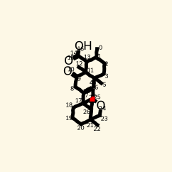 CC1CCC2(C)C3=C(CC(=O)C2(C)C1C(=O)O)C12CCCC(C)(COC1)C2CC3